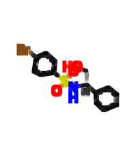 O=S(=O)(N[C@H](CO)c1ccccc1)c1ccc(Br)cc1